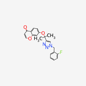 CC(C)(Oc1ccc2c(=O)ccoc2c1)c1cn(Cc2ccccc2F)nn1